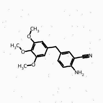 COc1cc(Cc2ccc(N)c(C#N)c2)cc(OC)c1OC